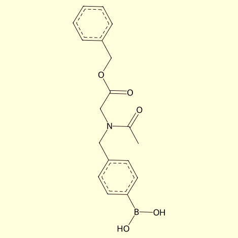 CC(=O)N(CC(=O)OCc1ccccc1)Cc1ccc(B(O)O)cc1